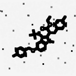 CCOC(=O)C(Cc1cnc(C)cn1)c1c(SC(C)(C)C)c2cc(OCc3cnc(C)cn3)ccc2n1C